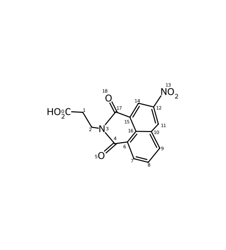 O=C(O)CCN1C(=O)c2cccc3cc([N+](=O)[O-])cc(c23)C1=O